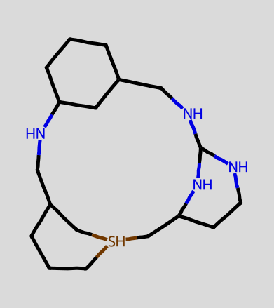 C1CC2CNC3NCCC(C[SH]4CCCC(CNC(C1)C2)C4)N3